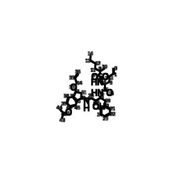 C=CCC[C@H](NS(=O)(=O)C(C)CCCC)C(=O)N[C@@H](Cc1ccccc1)[C@H](O)CN[C@H]1C[C@@H](OCC=C)c2ccc(OC(C)C)cc21